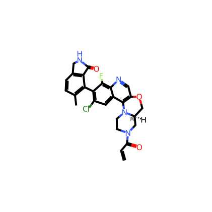 C=CC(=O)N1CCN2c3c(cnc4c(F)c(-c5c(C)ccc6c5C(=O)NC6)c(Cl)cc34)OC[C@H]2C1